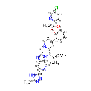 CO[C@@H](C)Cn1c(CN2CCC(c3cccc4c3OC(C)(c3ccc(Cl)cn3)O4)CC2)nc2cc(-c3nnc(C(F)(F)F)[nH]3)ncc21